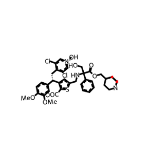 COc1ccc([C@H](Cc2c(Cl)c[n+](O)cc2Cl)c2cc(CNC(CO)(C(=O)OCC34CCN(CC3)CC4)c3ccccc3)sc2C(=O)[O-])cc1OC